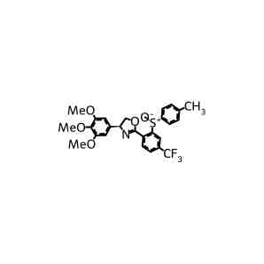 COc1cc([C@H]2COC(c3ccc(C(F)(F)F)cc3[S@@+]([O-])c3ccc(C)cc3)=N2)cc(OC)c1OC